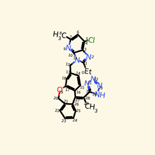 CCc1nc2c(Cl)cc(C)nc2n1Cc1ccc2c(c1)OCc1ccccc1C2=C(C)c1nnn[nH]1